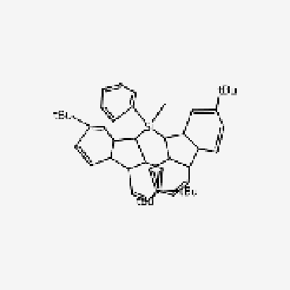 CC(C)(C)C1=CC2C(C=C1)C1C=CC(C(C)(C)C)=CC1C2[Si](C)(c1ccccc1)C1C2C=C(C(C)(C)C)C=CC2C2C=CC(C(C)(C)C)=CC21